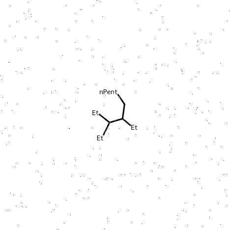 CCCCCCC(CC)[C](CC)CC